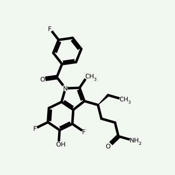 CC[C@@H](CCC(N)=O)c1c(C)n(C(=O)c2cccc(F)c2)c2cc(F)c(O)c(F)c12